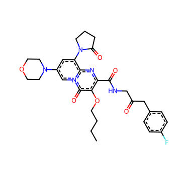 CCCCOc1c(C(=O)NCC(=O)Cc2ccc(F)cc2)nc2c(N3CCCC3=O)cc(N3CCOCC3)cn2c1=O